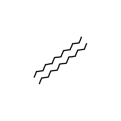 CCCCCCCCCCCC.CCCCCCCCCCCC